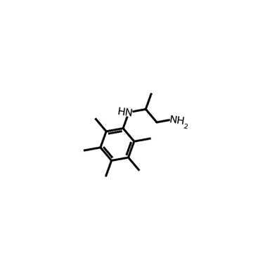 Cc1c(C)c(C)c(NC(C)CN)c(C)c1C